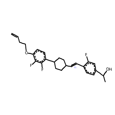 C=CCCOc1ccc(C2CCC(/C=C/c3ccc(C(C)O)cc3F)CC2)c(F)c1F